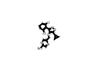 Clc1cccc(Cl)c1-c1noc(C2CC2)c1OCc1cnc(Br)cn1